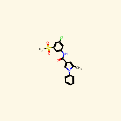 Cc1cc(C(=O)Nc2cc(Cl)cc(S(C)(=O)=O)c2)cn1-c1ccccc1